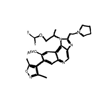 COc1cc2c(cc1-c1c(C)noc1C)ncc1nc(CN3CCCC3)n(C(C)COC(F)F)c12